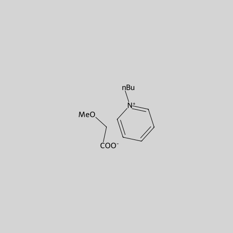 CCCC[n+]1ccccc1.COCC(=O)[O-]